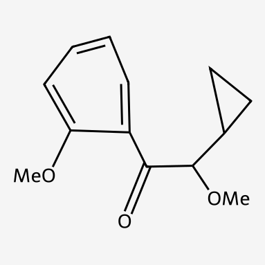 COc1ccccc1C(=O)C(OC)C1CC1